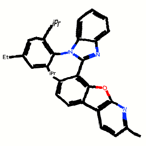 CCc1cc(C(C)C)c(-n2c(-c3c(C)ccc4c3oc3nc(C)ccc34)nc3ccccc32)c(C(C)C)c1